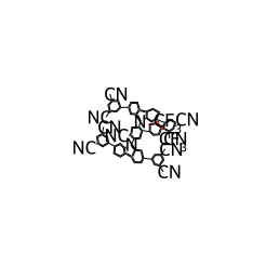 N#Cc1cc(C#N)cc(-c2ccc3c4ccc(-c5cc(C#N)cc(C#N)c5)cc4n(-c4cc(-c5cc(C(F)(F)F)cc(C(F)(F)F)c5)c(-n5c6cc(-c7cc(C#N)cc(C#N)c7)ccc6c6ccc(-c7cc(C#N)cc(C#N)c7)cc65)cc4C#N)c3c2)c1